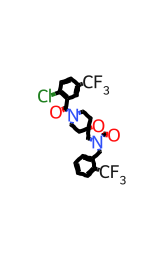 O=C1OC2(CCN(C(=O)c3cc(C(F)(F)F)ccc3Cl)CC2)CN1Cc1ccccc1C(F)(F)F